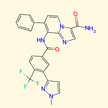 Cn1ccc(-c2cc(C(=O)Nc3c(-c4ccccc4)ccn4c(C(N)=O)cnc34)ccc2C(F)(F)F)n1